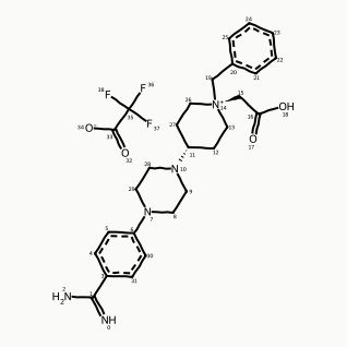 N=C(N)c1ccc(N2CCN([C@H]3CC[N@@+](CC(=O)O)(Cc4ccccc4)CC3)CC2)cc1.O=C([O-])C(F)(F)F